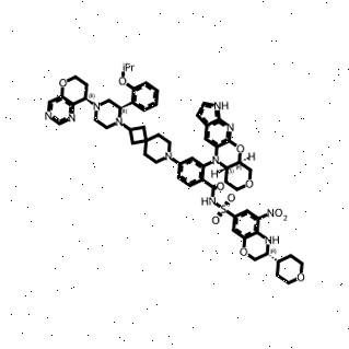 CC(C)Oc1ccccc1[C@@H]1CN([C@@H]2CCOc3cncnc32)CCN1C1CC2(CCN(c3ccc(C(=O)NS(=O)(=O)c4cc5c(c([N+](=O)[O-])c4)N[C@H](C4CCOCC4)CO5)c(N4c5cc6cc[nH]c6nc5O[C@H]5COCC[C@@H]54)c3)CC2)C1